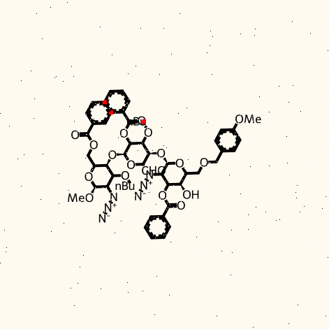 CCCCOC1C(N=[N+]=[N-])[C@@H](OC)OC(COC(=O)c2ccccc2)[C@H]1O[C@@H]1OC(C=O)[C@H](O[C@H]2OC(COCc3ccc(OC)cc3)[C@@H](O)C(OC(=O)c3ccccc3)C2N=[N+]=[N-])C(OCCCC)C1OC(=O)c1ccccc1